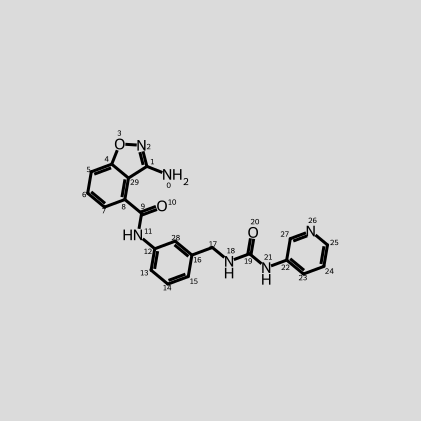 Nc1noc2cccc(C(=O)Nc3cccc(CNC(=O)Nc4cccnc4)c3)c12